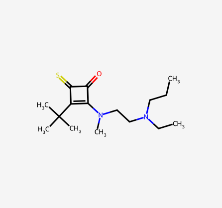 CCCN(CC)CCN(C)c1c(C(C)(C)C)c(=S)c1=O